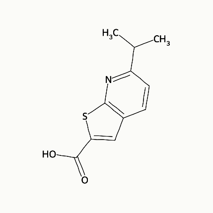 CC(C)c1ccc2cc(C(=O)O)sc2n1